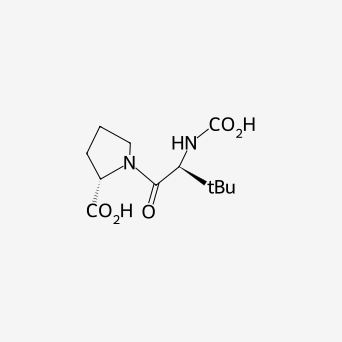 CC(C)(C)[C@H](NC(=O)O)C(=O)N1CCC[C@H]1C(=O)O